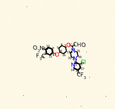 O=CC(OC1CCC(Oc2ccc([N+](=O)[O-])c(C(F)(F)F)c2)CC1)N1CCN(c2ncc(C(F)(F)F)cc2Cl)CC1